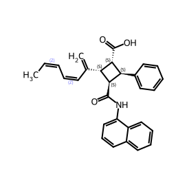 C=C(/C=C\C=C/C)[C@@H]1[C@H](C(=O)O)[C@@H](c2ccccc2)[C@H]1C(=O)Nc1cccc2ccccc12